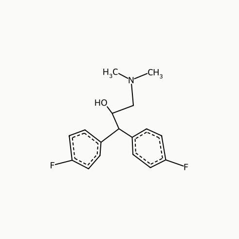 CN(C)CC(O)C(c1ccc(F)cc1)c1ccc(F)cc1